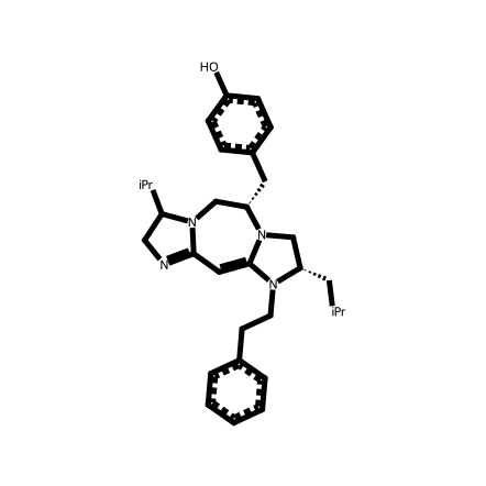 CC(C)C[C@H]1CN2C(=CC3=NCC(C(C)C)N3C[C@@H]2Cc2ccc(O)cc2)N1CCc1ccccc1